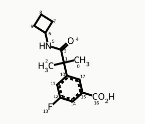 CC(C)(C(=O)NC1CCC1)c1cc(F)cc(C(=O)O)c1